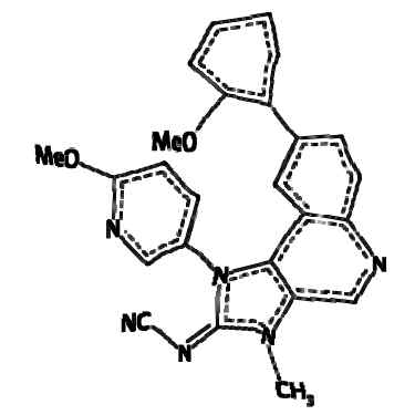 COc1ccc(-n2c(=NC#N)n(C)c3cnc4ccc(-c5ccccc5OC)cc4c32)cn1